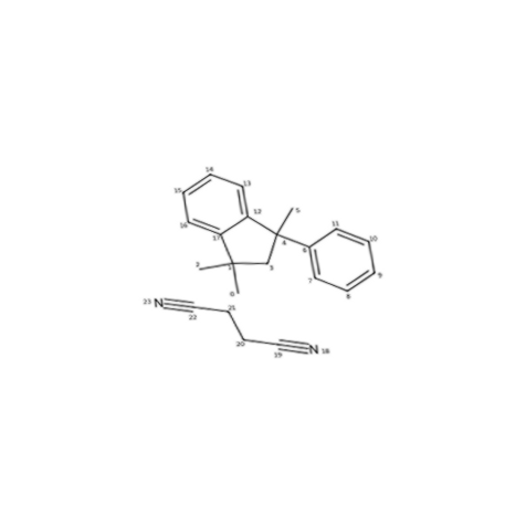 CC1(C)CC(C)(c2ccccc2)c2ccccc21.N#CCCC#N